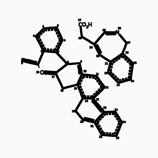 C=Cc1ccccc1C1C=c2ccc3c(c2CC1=O)CC=c1ccccc1=3.O=C(O)CC1=Cc2ccccc2CN=C1